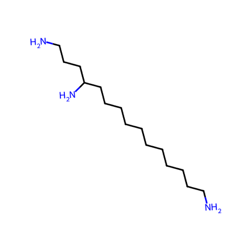 NCCCCCCCCCCCC(N)CCCN